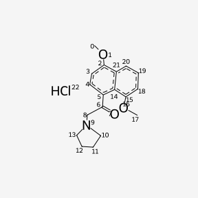 COc1ccc(C(=O)CN2CCCC2)c2c(OC)cccc12.Cl